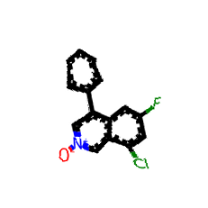 [O-][n+]1cc(-c2ccccc2)c2cc(F)cc(Cl)c2c1